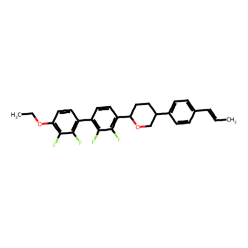 C/C=C/c1ccc(C2CCC(c3ccc(-c4ccc(OCC)c(F)c4F)c(F)c3F)OC2)cc1